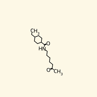 CCC1CCC(C(=O)NCCCCCC(C)=O)CC1